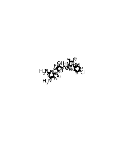 CC(N[P@](=O)(OC[C@H]1O[C@@H](n2cnc3c(N)nc(N)nc32)[C@](C)(F)[C@@H]1O)Oc1ccc(Cl)cc1)C(=O)O